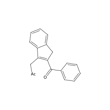 CC(=O)CC1=C(C(=O)c2ccccc2)Cc2ccccc21